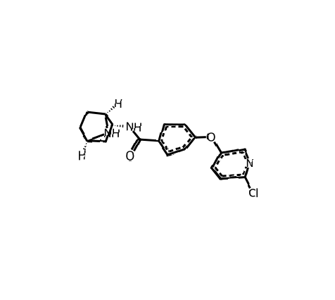 O=C(N[C@@H]1C[C@H]2CC[C@@H]1N2)c1ccc(Oc2ccc(Cl)nc2)cc1